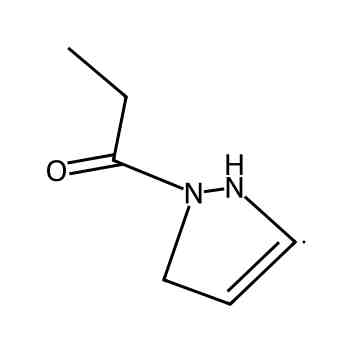 CCC(=O)N1CC=[C]N1